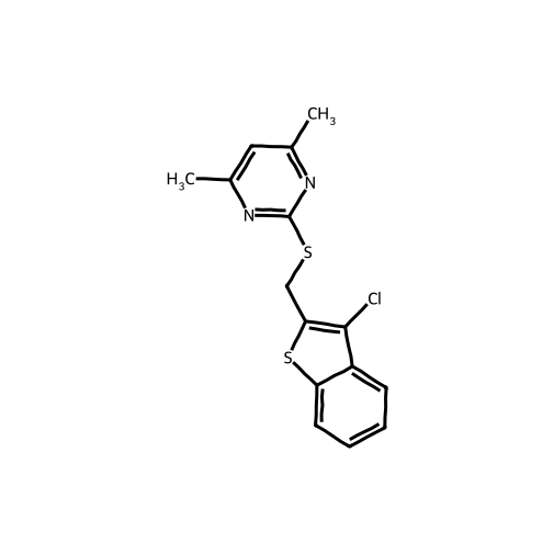 Cc1cc(C)nc(SCc2sc3ccccc3c2Cl)n1